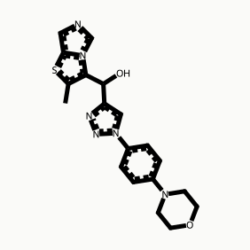 Cc1sc2cncn2c1C(O)c1cn(-c2ccc(N3CCOCC3)cc2)nn1